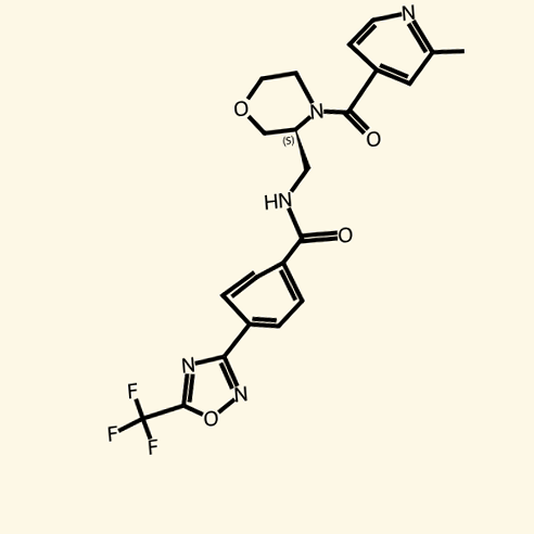 Cc1cc(C(=O)N2CCOC[C@@H]2CNC(=O)c2ccc(-c3noc(C(F)(F)F)n3)cc2)ccn1